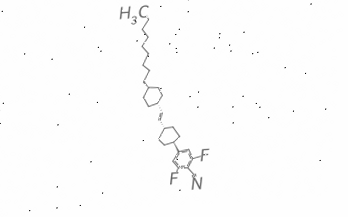 CCCCCCCCC[C@H]1CC[C@H](C=C[C@H]2CC[C@H](c3cc(F)c(C#N)c(F)c3)CC2)CC1